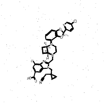 C[C@@]1(c2ccc(Cl)cn2)Oc2cccc(N3CCN(Cc4nc5c(Cl)cc(C(=O)O)cc5n4CC4(CC#N)CC4)[C@@H]4CC[C@H]43)c2O1